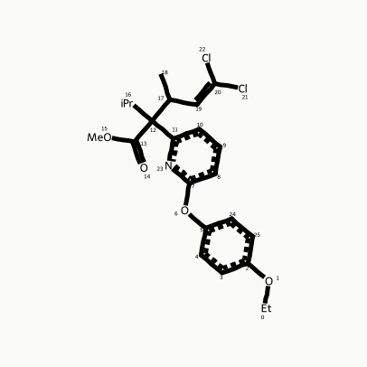 CCOc1ccc(Oc2cccc(C(C(=O)OC)(C(C)C)C(C)C=C(Cl)Cl)n2)cc1